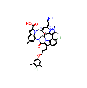 CC(=C/C=N)/C=C1\C[C@@H]2CN(C(=O)c3c(CCCOc4cc(C)c(Cl)c(C)c4)c4ccc(Cl)c(-c5c(C)nn(C)c5C)c4n32)c2cc(C)cc3cc(C(=O)O)n(c23)C1